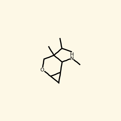 CNC1C2CC2OCC1(C)C(C)C